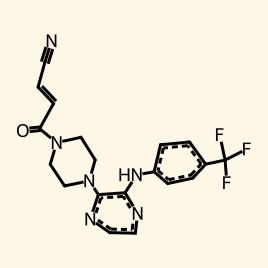 N#CC=CC(=O)N1CCN(c2nccnc2Nc2ccc(C(F)(F)F)cc2)CC1